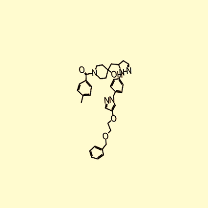 Cc1ccc(C(=O)N2CCC(O)(CC3CC=NN3c3ccc(-n4cc(OCCOCc5ccccc5)cn4)cc3)CC2)cc1